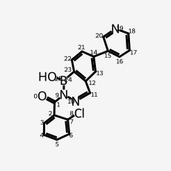 O=C(c1ccccc1Cl)N1N=Cc2cc(-c3cccnc3)ccc2B1O